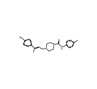 C/C(=C\CN1CCN(C(=O)Nc2ccc(C)cc2)CC1)c1ccc(Cl)cc1